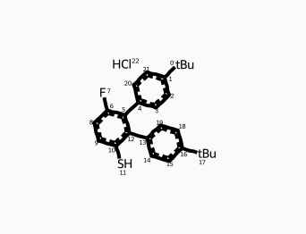 CC(C)(C)c1ccc(-c2c(F)ccc(S)c2-c2ccc(C(C)(C)C)cc2)cc1.Cl